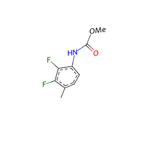 COC(=O)Nc1ccc(C)c(F)c1F